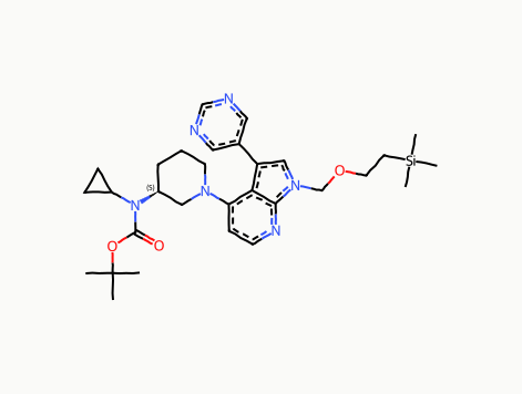 CC(C)(C)OC(=O)N(C1CC1)[C@H]1CCCN(c2ccnc3c2c(-c2cncnc2)cn3COCC[Si](C)(C)C)C1